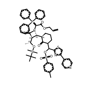 C=CCOC(=O)C(N1C(=O)[C@H]([C@@H](C)O[Si](C)(C)C(C)(C)C)[C@H]1[C@H]1CCCC(C(OS(=O)(=O)c2ccc(C)cc2)c2nc(-c3ccncc3)cs2)C1=O)=P(c1ccccc1)(c1ccccc1)c1ccccc1